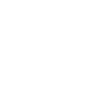 CCCCC/C=C\CCC(CCCCCCCCCCCCCC)CC(C)(C)CO